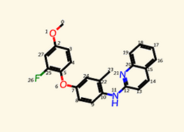 COc1ccc(Oc2ccc(Nc3ccc4ccccc4n3)c(C)c2)c(F)c1